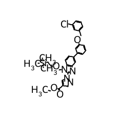 CCOC(=O)c1cnn(-c2nc3cc(-c4cccc(OCc5cccc(Cl)c5)c4)ccc3n2COCC[Si](C)(C)C)c1